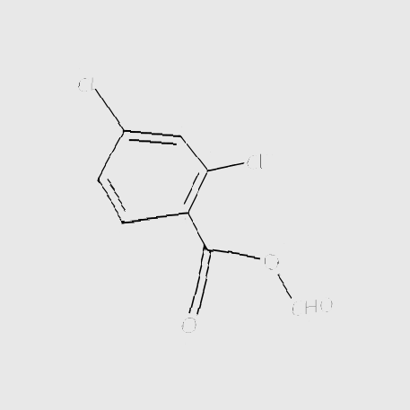 O=COC(=O)c1ccc(Cl)cc1Cl